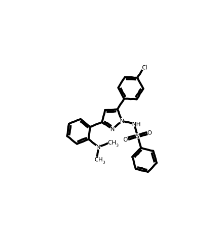 CN(C)c1ccccc1-c1cc(-c2ccc(Cl)cc2)n(NS(=O)(=O)c2ccccc2)n1